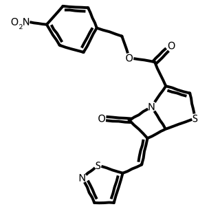 O=C(OCc1ccc([N+](=O)[O-])cc1)C1=CSC2C(=Cc3ccns3)C(=O)N12